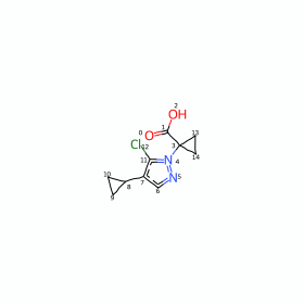 O=C(O)C1(n2ncc(C3CC3)c2Cl)CC1